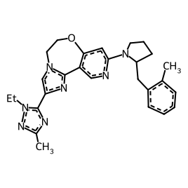 CCn1nc(C)nc1-c1cn2c(n1)-c1cnc(N3CCCC3Cc3ccccc3C)cc1OCC2